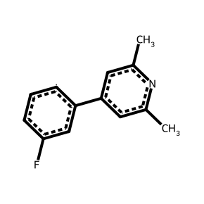 Cc1cc(-c2[c]ccc(F)c2)cc(C)n1